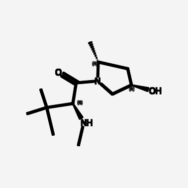 CN[C@H](C(=O)N1C[C@H](O)C[C@H]1C)C(C)(C)C